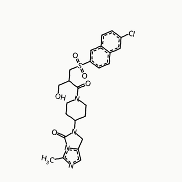 Cc1ncc2n1C(=O)N(C1CCN(C(=O)C(CO)CS(=O)(=O)c3ccc4cc(Cl)ccc4c3)CC1)C2